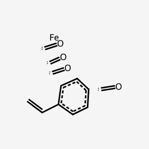 C=Cc1ccccc1.[C]=O.[C]=O.[C]=O.[C]=O.[Fe]